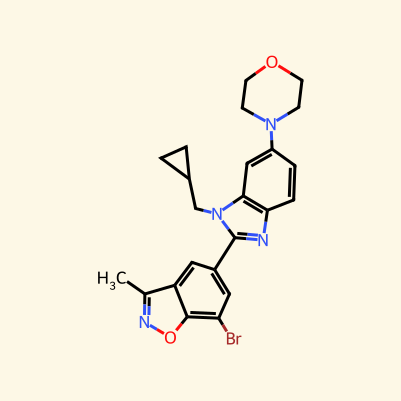 Cc1noc2c(Br)cc(-c3nc4ccc(N5CCOCC5)cc4n3CC3CC3)cc12